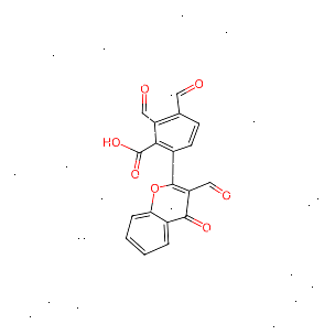 O=Cc1ccc(-c2oc3ccccc3c(=O)c2C=O)c(C(=O)O)c1C=O